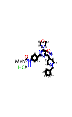 CNC(=O)Nc1ccc(-c2nc(N3CCOCC3)c3onc(C4CCN(Cc5ccccc5)CC4)c3n2)cc1.Cl